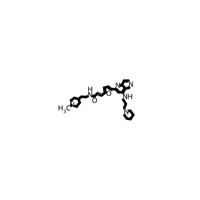 CN1CCC(CCNC(=O)/C=C/c2ccc(-c3cc(NCCCN4CCCCC4)c4cnccc4n3)o2)CC1